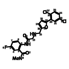 CNC(=O)c1cc(F)ccc1NC(=O)CNCc1ccc(-c2cc(Cl)ccc2Cl)o1